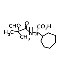 CC(C)(C=O)C(=O)N[C@H](C(=O)O)C1CCCCCC1